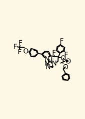 CP(=O)(OCc1ccccc1)OC(Cn1cnnn1)(c1ccc(F)cc1F)C(F)(F)c1ccc(-c2ccc(OCC(F)(F)F)cc2)cn1